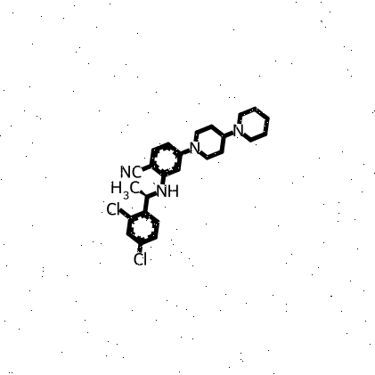 C[C@@H](Nc1cc(N2CCC(N3CCCCC3)CC2)ccc1C#N)c1ccc(Cl)cc1Cl